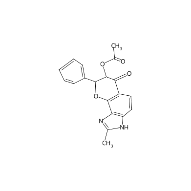 CC(=O)OC1C(=O)c2ccc3[nH]c(C)nc3c2OC1c1ccccc1